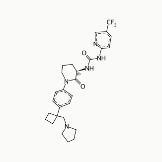 O=C(Nc1ccc(C(F)(F)F)cn1)N[C@@H]1CCCN(c2ccc(C3(CN4CCCC4)CCC3)cc2)C1=O